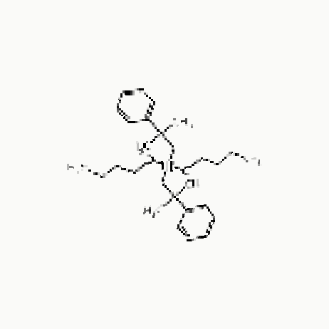 CCCC[O][Hf]([CH2]C(C)(C)c1ccccc1)([CH2]C(C)(C)c1ccccc1)[O]CCCC